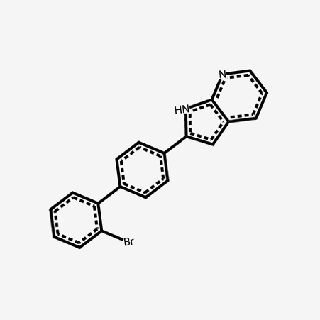 Brc1ccccc1-c1ccc(-c2cc3cccnc3[nH]2)cc1